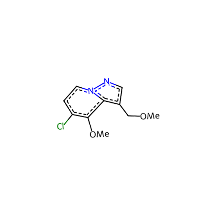 COCc1cnn2ccc(Cl)c(OC)c12